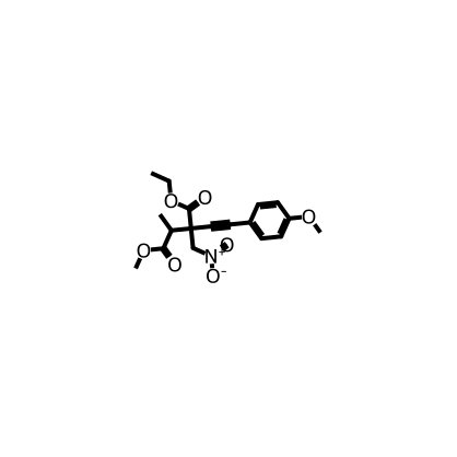 CCOC(=O)C(C#Cc1ccc(OC)cc1)(C[N+](=O)[O-])C(C)C(=O)OC